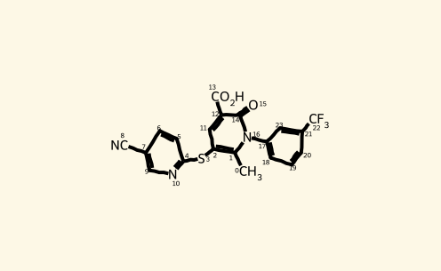 Cc1c(Sc2ccc(C#N)cn2)cc(C(=O)O)c(=O)n1-c1cccc(C(F)(F)F)c1